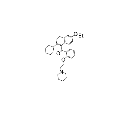 CCOc1ccc2c(c1)CCC(C1CCCCC1)=C2C(=O)c1ccccc1OCCN1CCCCC1